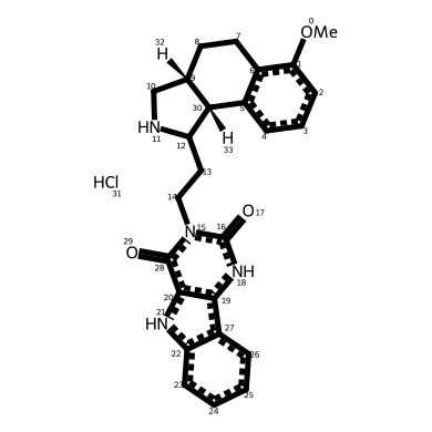 COc1cccc2c1CC[C@H]1CNC(CCn3c(=O)[nH]c4c([nH]c5ccccc54)c3=O)[C@@H]21.Cl